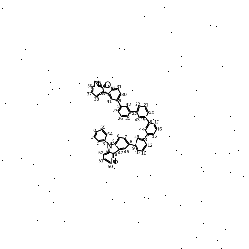 c1ccc(-n2c3ccc(-c4cccc(-c5cccc(-c6cccc(-c7cccc(-c8ccc9oc%10ncccc%10c9c8)c7)c6)c5)c4)cc3c3ncccc32)cc1